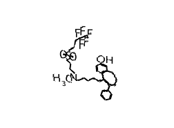 CN(CCCCCC1=C(c2ccccc2)CCCc2cc(O)ccc21)CCCCS(=O)(=O)CCCC(F)(F)C(F)(F)F